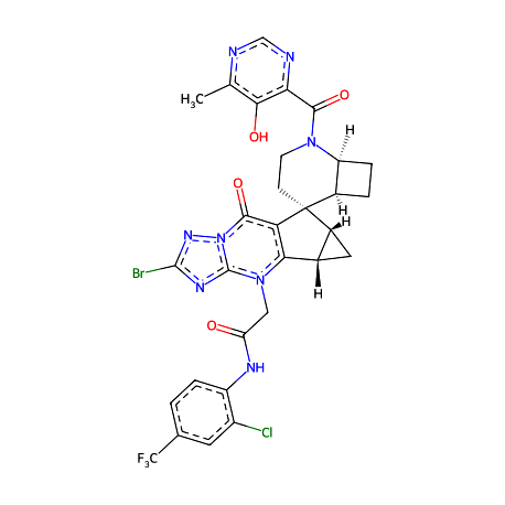 Cc1ncnc(C(=O)N2CC[C@]3(c4c(n(CC(=O)Nc5ccc(C(F)(F)F)cc5Cl)c5nc(Br)nn5c4=O)[C@H]4C[C@H]43)[C@@H]3CC[C@@H]32)c1O